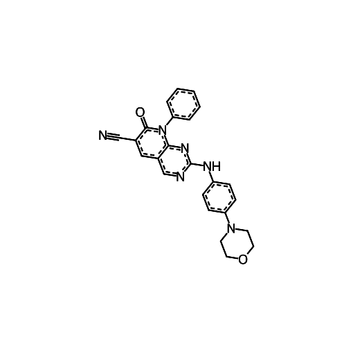 N#Cc1cc2cnc(Nc3ccc(N4CCOCC4)cc3)nc2n(-c2ccccc2)c1=O